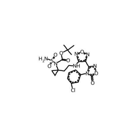 CC(C)(C)OC(=O)N(C1(CCNc2nonc2-c2noc(=O)n2-c2cccc(Cl)c2)CC1)S(N)(=O)=O